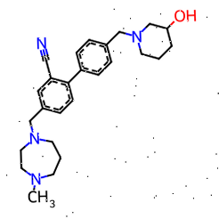 CN1CCCN(Cc2ccc(-c3ccc(CN4CCCC(O)C4)cc3)c(C#N)c2)CC1